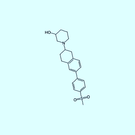 CS(=O)(=O)c1ccc(-c2ccc3c(c2)CCC(N2CCCC(O)C2)C3)cc1